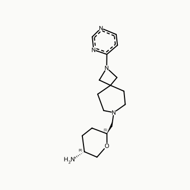 N[C@@H]1CC[C@@H](CN2CCC3(CC2)CN(c2ccncn2)C3)OC1